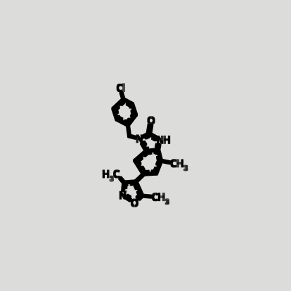 Cc1noc(C)c1-c1cc(C)c2[nH]c(=O)n(Cc3ccc(Cl)cc3)c2c1